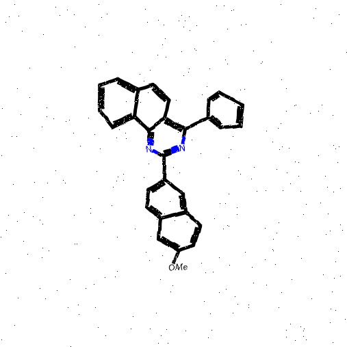 COc1ccc2cc(-c3nc(-c4ccccc4)c4ccc5ccccc5c4n3)ccc2c1